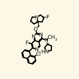 CN(c1nc(OC[C@@]23CCCN2C[C@H](F)C3)nc2c(F)c(-c3cccc4cccc(Cl)c34)ncc12)[C@@H]1CCNC1